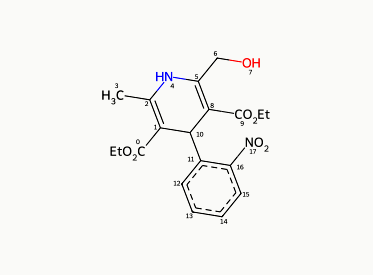 CCOC(=O)C1=C(C)NC(CO)=C(C(=O)OCC)C1c1ccccc1[N+](=O)[O-]